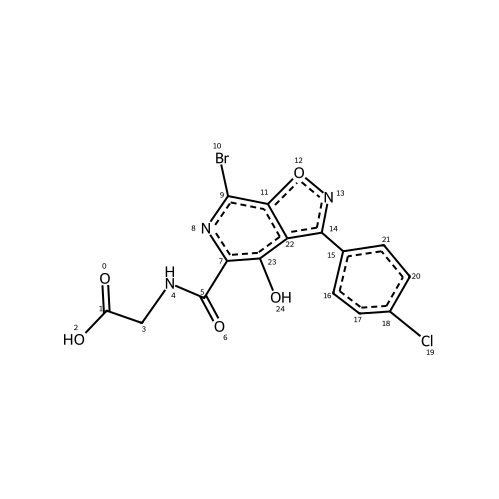 O=C(O)CNC(=O)c1nc(Br)c2onc(-c3ccc(Cl)cc3)c2c1O